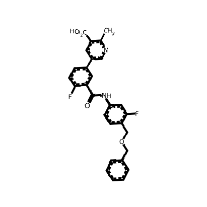 Cc1ncc(-c2ccc(F)c(C(=O)Nc3ccc(COCc4ccccc4)c(F)c3)c2)cc1C(=O)O